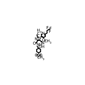 CCc1nc(C(=O)NCC2(O)CCC(S(C)(=O)=O)CC2)c(C#N)n1-c1cnc(CCC(F)(F)F)cc1OC